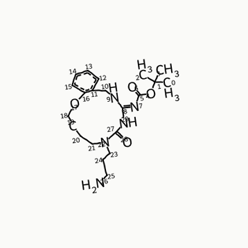 CC(C)(C)OC(=O)/N=C1\NCc2ccccc2OCCCCN(CCCN)C(=O)N1